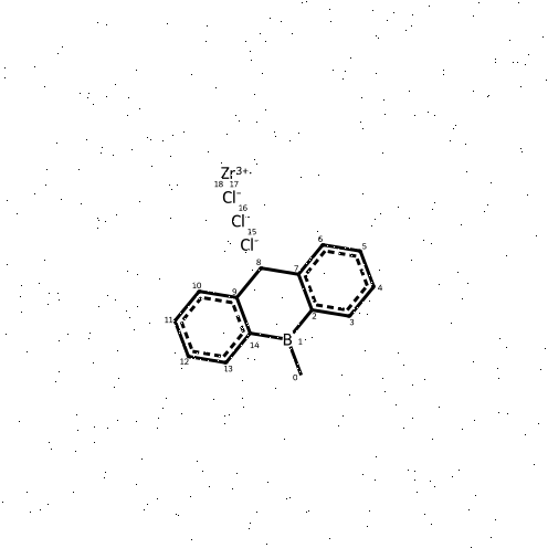 CB1c2ccccc2Cc2ccccc21.[Cl-].[Cl-].[Cl-].[Zr+3]